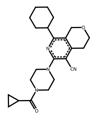 N#Cc1c(N2CCN(C(=O)C3CC3)CC2)nc(C2CCCCC2)c2c1CCOC2